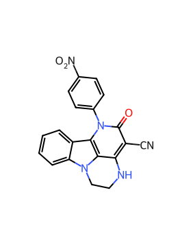 N#Cc1c2c3c(c4ccccc4n3CCN2)n(-c2ccc([N+](=O)[O-])cc2)c1=O